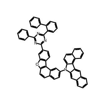 c1ccc(-c2nc(-c3ccc4c(c3)oc3ccc5ccc(-n6c7cc8ccccc8cc7c7c8ccccc8ccc76)cc5c34)nc(-c3ccccc3-c3ccccc3)n2)cc1